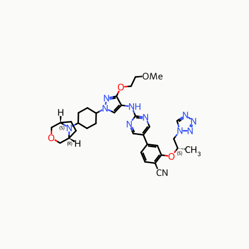 COCCOc1nn(C2CCC(N3[C@@H]4CC[C@H]3COC4)CC2)cc1Nc1ncc(-c2ccc(C#N)c(O[C@@H](C)Cn3cnnn3)c2)cn1